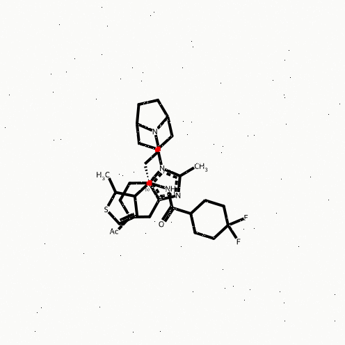 CC(=O)N1CCc2c(nc(C)n2C2CC3CCC(C2)N3CC[C@H](NC(=O)C2CCC(F)(F)CC2)C2C=CSC2C)C1